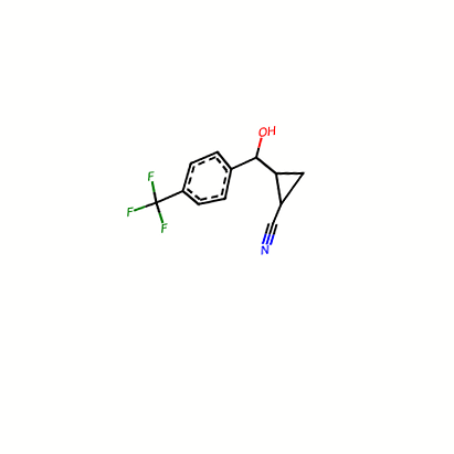 N#CC1CC1C(O)c1ccc(C(F)(F)F)cc1